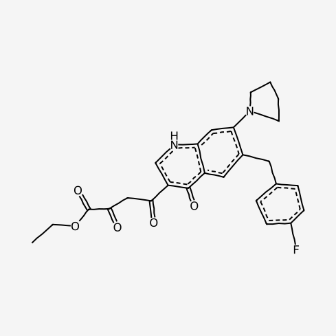 CCOC(=O)C(=O)CC(=O)c1c[nH]c2cc(N3CCCC3)c(Cc3ccc(F)cc3)cc2c1=O